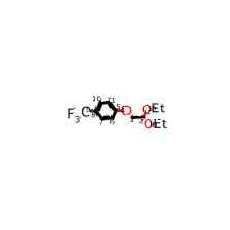 CCOC(COc1ccc(C(F)(F)F)cc1)OCC